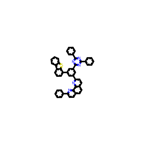 c1ccc(-c2ccc3ccc4ccc(-c5cc(-c6nc(-c7ccccc7)nc(-c7ccccc7)n6)cc(-c6cccc7c6sc6ccccc67)c5)nc4c3n2)cc1